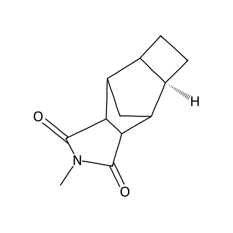 CN1C(=O)C2C3CC(C2C1=O)[C@@H]1CCC31